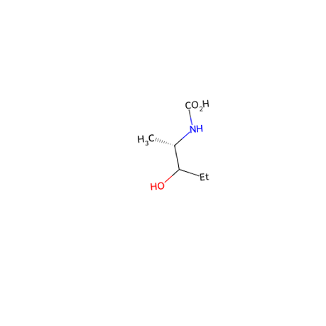 CCC(O)[C@H](C)NC(=O)O